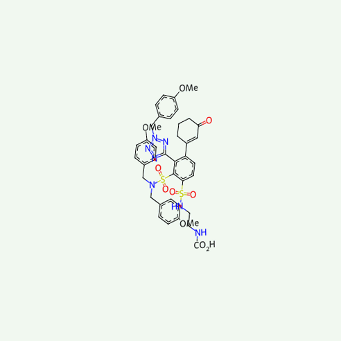 COc1ccc(CN(Cc2ccc(OC)cc2)S(=O)(=O)c2c(S(=O)(=O)NCCNC(=O)O)ccc(C3=CC(=O)CCC3)c2-c2nnn(Cc3ccc(OC)cc3)n2)cc1